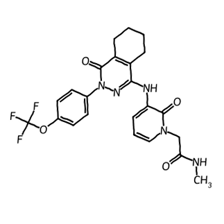 CNC(=O)Cn1cccc(Nc2nn(-c3ccc(OC(F)(F)F)cc3)c(=O)c3c2CCCC3)c1=O